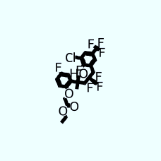 CCOC(=O)COc1ccc(F)cc1C(C)(C)CC(O)(Cc1cc(C(F)(F)F)cc(Cl)c1F)C(F)(F)F